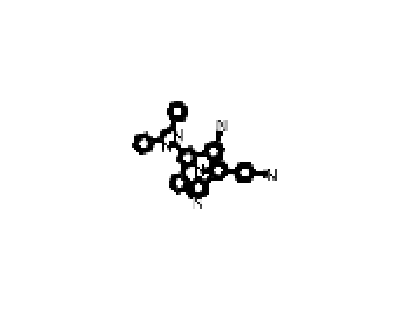 N#Cc1ccc(-c2ccc3c(c2)c2ccccc2n3-c2c(-c3cccc(C#N)c3)cc(-c3nc(-c4ccccc4)cc(-c4ccccc4)n3)cc2-c2cccc(C#N)c2)cc1